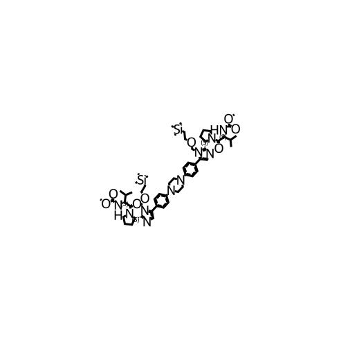 COC(=O)N[C@H](C(=O)N1CCC[C@H]1c1ncc(-c2ccc(N3CCN(c4ccc(-c5cnc([C@@H]6CCCN6C(=O)[C@@H](NC(=O)OC)C(C)C)n5COCC[Si](C)(C)C)cc4)CC3)cc2)n1COCC[Si](C)(C)C)C(C)C